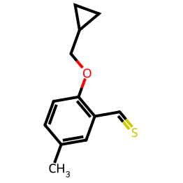 Cc1ccc(OCC2CC2)c(C=S)c1